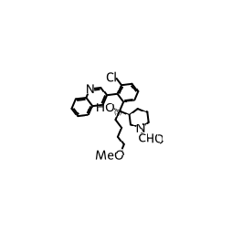 COCCCC[C@@](O)(c1cccc(Cl)c1-c1cnc2ccccc2c1)C1CCCN(C=O)C1